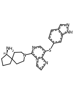 N[C@@H]1CCCC12CCN(c1ncc(Sc3ccc4cn[nH]c4c3)c3nccn13)CC2